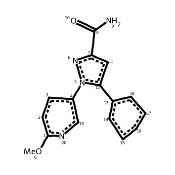 COc1ccc(-n2nc(C(N)=O)cc2-c2ccccc2)cn1